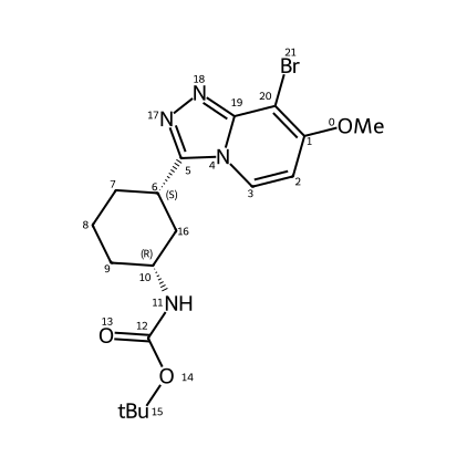 COc1ccn2c([C@H]3CCC[C@@H](NC(=O)OC(C)(C)C)C3)nnc2c1Br